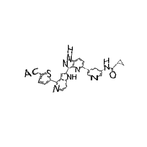 CC(=O)c1ccc(-c2nccc3[nH]c(-c4n[nH]c5ccc(-c6cncc(NC(=O)C7CC7)c6)nc45)cc23)s1